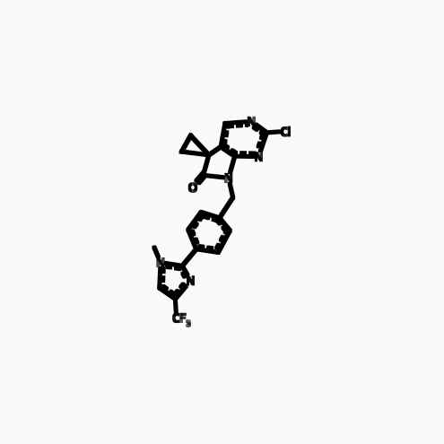 Cn1cc(C(F)(F)F)nc1-c1ccc(CN2C(=O)C3(CC3)c3cnc(Cl)nc32)cc1